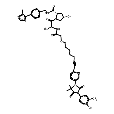 Cc1ncsc1-c1ccc(CNC(=O)[C@@H]2C[C@@H](O)CN2C(=O)[C@@H](NC(=O)COCCCOCC#Cc2ccc(N3C(=S)N(c4ccc(C#N)c(C(F)(F)F)c4)C(=O)C3(C)C)cc2)C(C)(C)C)cc1